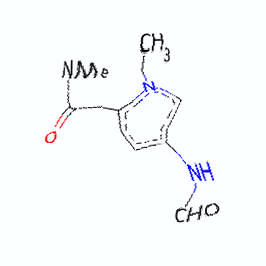 CNC(=O)c1cc(NC=O)cn1C